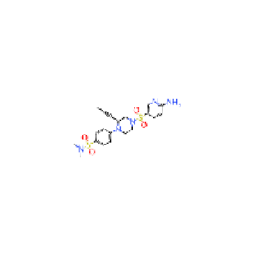 CC#CC1CN(S(=O)(=O)c2ccc(N)nc2)CCN1c1ccc(S(=O)(=O)N(C)C)cc1